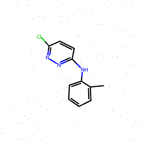 Cc1ccccc1Nc1ccc(Cl)nn1